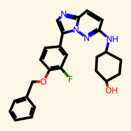 OC1CCC(Nc2ccc3ncc(-c4ccc(OCc5ccccc5)c(F)c4)n3n2)CC1